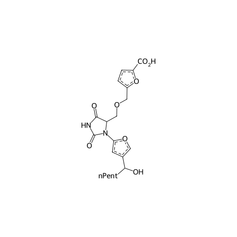 CCCCCC(O)c1coc(N2C(=O)NC(=O)C2COCc2ccc(C(=O)O)o2)c1